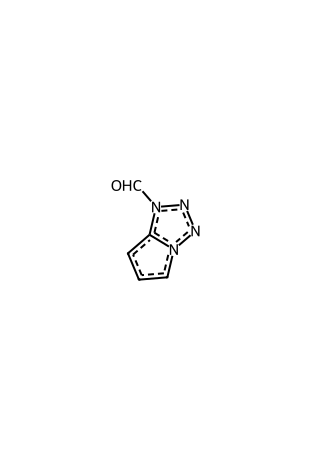 O=Cn1nnn2cccc12